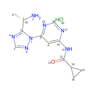 C[C@H](N)c1ncnn1-c1cc(NC(=O)C2CC2)ncn1.Cl